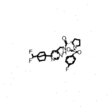 O=C(NCc1cc(C23CCC(C(F)F)(CC2)CC3)ncn1)[C@@H]1CCCN1S(=O)(=O)c1ccc(F)cc1